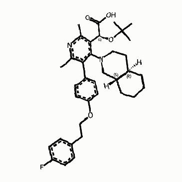 Cc1nc(C)c([C@H](OC(C)(C)C)C(=O)O)c(N2CC[C@H]3CCCC[C@@H]3C2)c1-c1ccc(OCCc2ccc(F)cc2)cc1